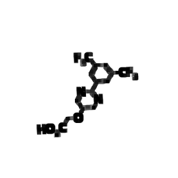 O=C(O)COc1cnc(-c2cc(C(F)(F)F)cc(C(F)(F)F)c2)nc1